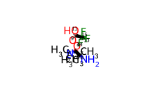 CN(C)C(=O)C(C)(C)N.O=C(O)C(F)(F)F